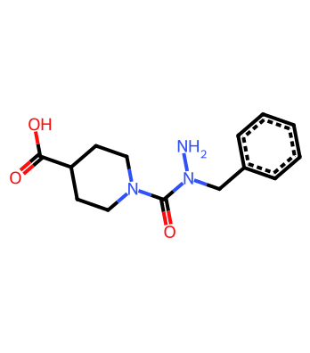 NN(Cc1ccccc1)C(=O)N1CCC(C(=O)O)CC1